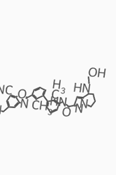 Cc1c(NC(=O)c2cc3n(n2)CCCC3NCCO)cccc1-c1cccc(-c2nc3cc(CN4CCCC4)cc(C#N)c3o2)c1C